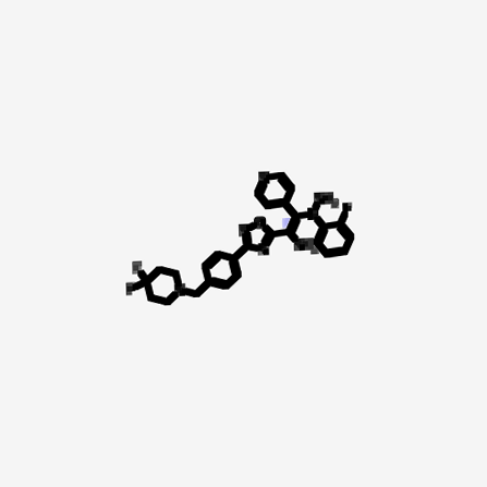 N/C(=C(/c1ccncc1)N(N)c1ccccc1F)c1nc(-c2ccc(CN3CCC(F)(F)CC3)cc2)no1